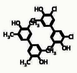 Cc1cc(-c2cc(C)c(O)c(C)c2)cc(C)c1O.Oc1c(Cl)cc(-c2cc(Cl)c(O)c(Cl)c2)cc1Cl